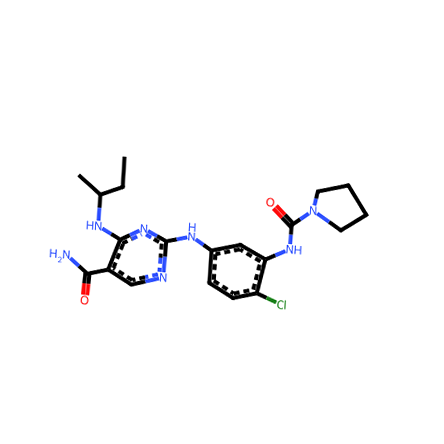 CCC(C)Nc1nc(Nc2ccc(Cl)c(NC(=O)N3CCCC3)c2)ncc1C(N)=O